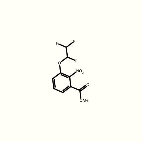 COC(=O)c1cccc(OC(F)C(F)F)c1[N+](=O)[O-]